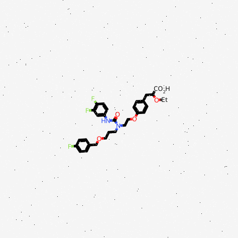 CCOC(Cc1ccc(OCCN(CCCOCc2ccc(F)cc2)C(=O)Nc2ccc(F)c(F)c2)cc1)C(=O)O